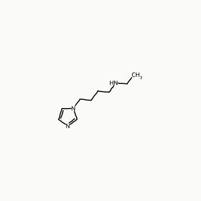 CCNCCCCn1ccnc1